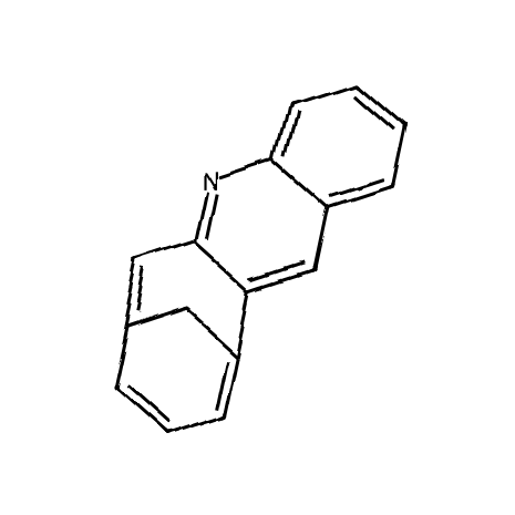 C1=CC2=Cc3nc4ccccc4cc3C(=C1)C2